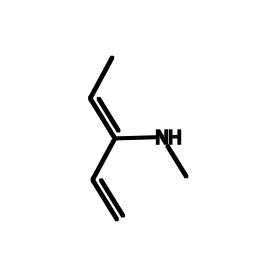 C=C/C(=C/C)NC